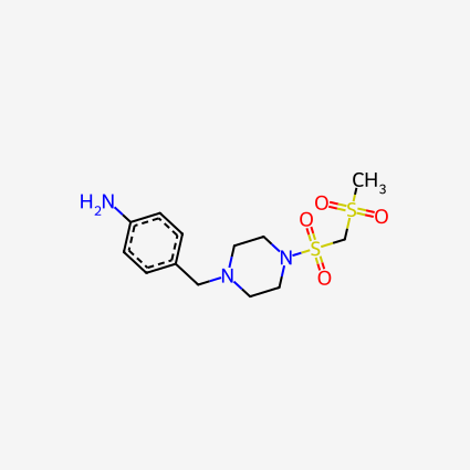 CS(=O)(=O)CS(=O)(=O)N1CCN(Cc2ccc(N)cc2)CC1